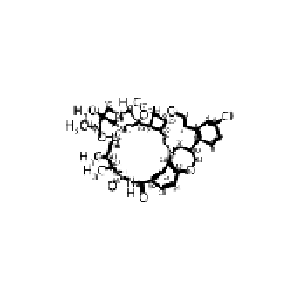 CCCc1cc(Cl)ccc1C1COc2ccc3cc2N(C1)CC1CCC1[C@@](CN1CC(C)(N(C)C)C1)(OC)CCCC(C)C(C)[S+]([O-])NC3=O